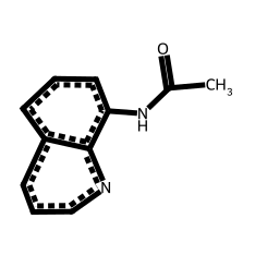 CC(=O)Nc1cccc2cccnc12